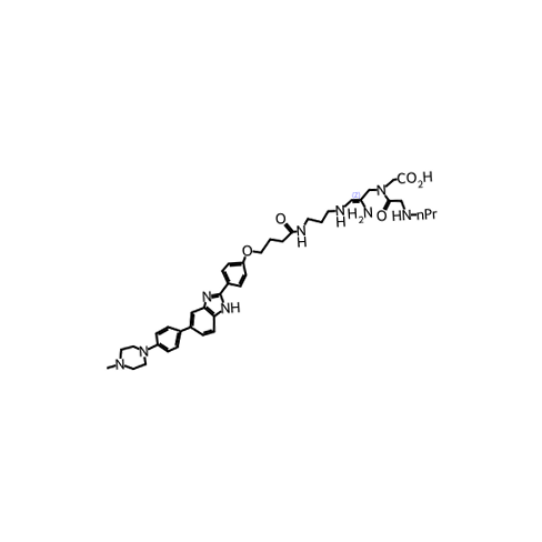 CCCNCC(=O)N(CC(=O)O)C/C(N)=C/NCCCNC(=O)CCCOc1ccc(-c2nc3cc(-c4ccc(N5CCN(C)CC5)cc4)ccc3[nH]2)cc1